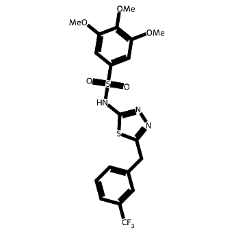 COc1cc(S(=O)(=O)Nc2nnc(Cc3cccc(C(F)(F)F)c3)s2)cc(OC)c1OC